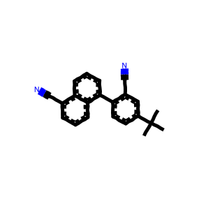 CC(C)(C)c1ccc(-c2cccc3c(C#N)cccc23)c(C#N)c1